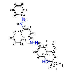 CC1(C)Cc2cccc3c(N=Nc4ccc(N=Nc5ccccc5)c5ccccc45)ccc(c23)N1